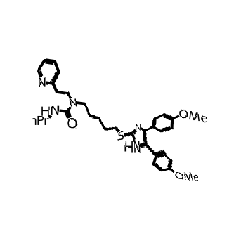 CCCNC(=O)N(CCCCCSc1nc(-c2ccc(OC)cc2)c(-c2ccc(OC)cc2)[nH]1)CCc1ccccn1